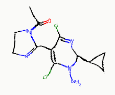 CC(=O)N1CCN=C1C1=C(Cl)N(N)C(C2CC2)N=C1Cl